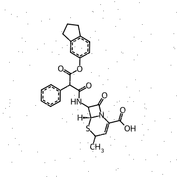 CC1C=C(C(=O)O)N2C(=O)C(NC(=O)C(C(=O)Oc3ccc4c(c3)CCC4)c3ccccc3)[C@H]2S1